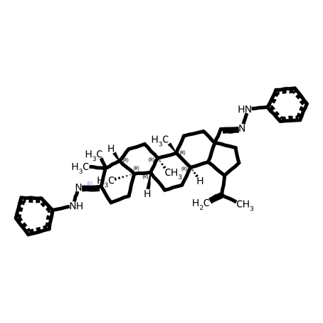 C=C(C)C1CCC2(C=NNc3ccccc3)CC[C@]3(C)[C@H](CC[C@@H]4[C@@]5(C)CC/C(=N\Nc6ccccc6)C(C)(C)[C@@H]5CC[C@]43C)C12